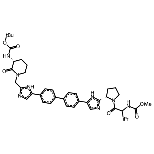 COC(=O)NC(C(=O)N1CCC[C@H]1c1ncc(-c2ccc(-c3ccc(-c4cnc(CN5CCC[C@@H](NC(=O)OC(C)(C)C)C5=O)[nH]4)cc3)cc2)[nH]1)C(C)C